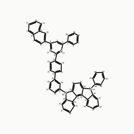 c1ccc(-c2cc(-c3ccc4ccccc4c3)nc(-c3ccc(-c4cccc(-n5c6ccccc6c6c7c8ccccc8n(-c8ccccc8)c7ccc65)c4)cc3)n2)cc1